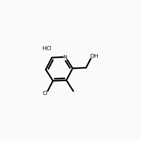 Cc1c(Cl)ccnc1CO.Cl